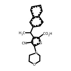 [C-]#[N+]c1c(N2CCOCC2)sc(C(=O)O)c1C(C)c1ccc2ccccc2c1